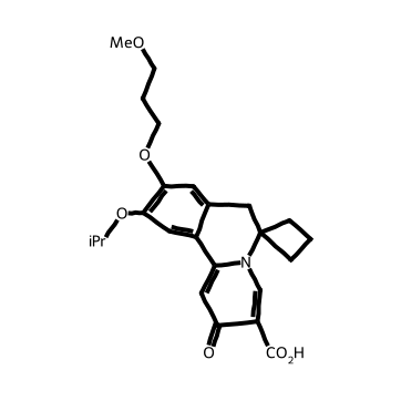 COCCCOc1cc2c(cc1OC(C)C)-c1cc(=O)c(C(=O)O)cn1C1(CCC1)C2